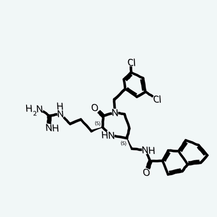 N=C(N)NCCC[C@@H]1N[C@H](CNC(=O)c2ccc3ccccc3c2)CCN(Cc2cc(Cl)cc(Cl)c2)C1=O